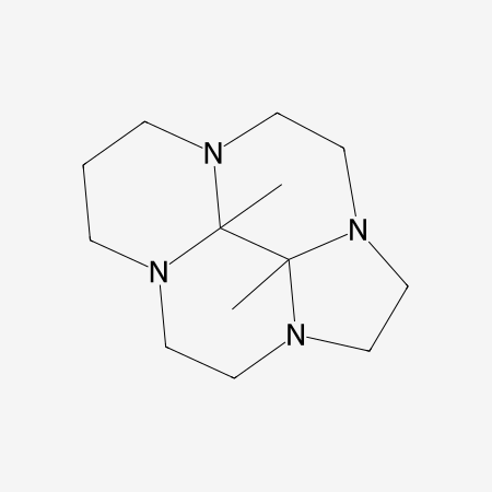 CC12N3CCCN1CCN1CCN(CC3)C12C